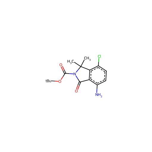 CC(C)(C)OC(=O)N1C(=O)c2c(N)ccc(Cl)c2C1(C)C